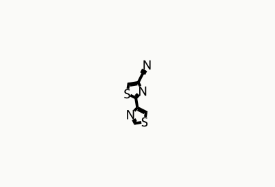 N#Cc1csc(-c2cscn2)n1